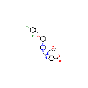 O=C(O)c1ccc2nc(CN3CCN(c4cccc(OCc5ccc(Cl)cc5F)c4)CC3)n(CC3CCO3)c2c1